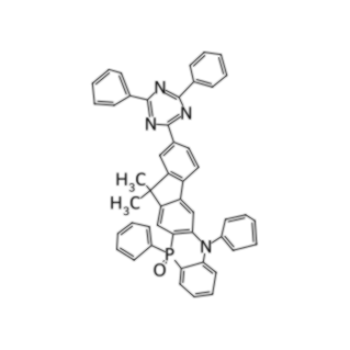 CC1(C)c2cc(-c3nc(-c4ccccc4)nc(-c4ccccc4)n3)ccc2-c2cc3c(cc21)P(=O)(c1ccccc1)c1ccccc1N3c1ccccc1